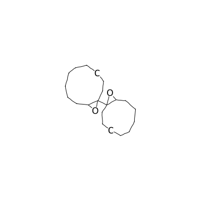 C1CCCCC2OC2(C23CCCCCCCCC2O3)CCCC1